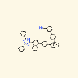 N#Cc1cccc(-c2ccc(C34CC5CC(C3)CC(c3ccc(-c6ccc(-c7nc(-c8ccccc8)nc(-c8ccccc8)n7)c7ccccc67)cc3)(C5)C4)cc2)c1